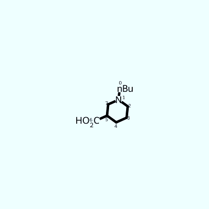 CCCCN1CCCC(C(=O)O)C1